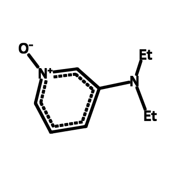 CCN(CC)c1ccc[n+]([O-])c1